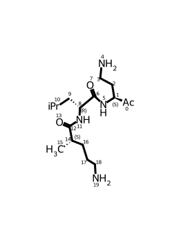 CC(=O)[C@H](CCN)NC(=O)[C@@H](CC(C)C)NC(=O)[C@@H](C)CCCN